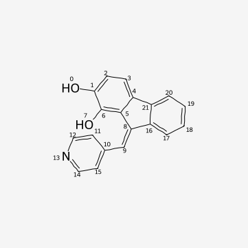 Oc1ccc2c(c1O)C(=Cc1ccncc1)c1ccccc1-2